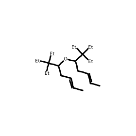 CC=CCC(OC(CC=CC)C(CC)(CC)CC)C(CC)(CC)CC